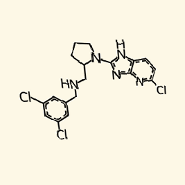 Clc1cc(Cl)cc(CNCC2CCCN2c2nc3nc(Cl)ccc3[nH]2)c1